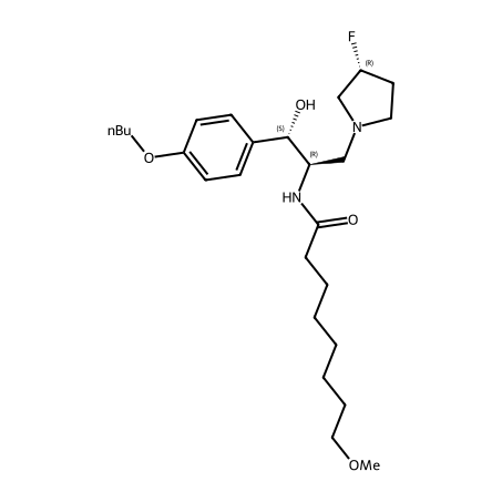 CCCCOc1ccc([C@H](O)[C@@H](CN2CC[C@@H](F)C2)NC(=O)CCCCCCCOC)cc1